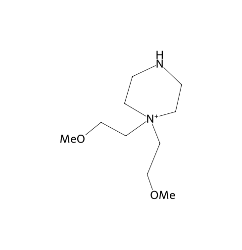 COCC[N+]1(CCOC)CCNCC1